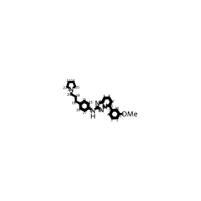 COc1cccc(-c2cccc3nc(Nc4ccc(CCCN5CCCC5)cc4)nn23)c1